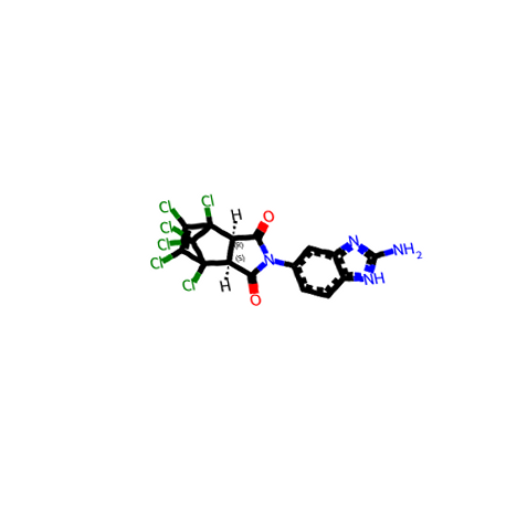 Nc1nc2cc(N3C(=O)[C@@H]4[C@H](C3=O)C3(Cl)C(Cl)=C(Cl)C4(Cl)C3(Cl)Cl)ccc2[nH]1